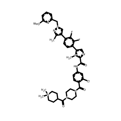 COc1cccc(Cn2cc(-c3ccc(-c4cnc(C(=O)Nc5ccc(C(=O)N6CCN(C(=O)C7CC[N+](C)(C)CC7)CC6)c(Cl)c5)n4C)c(F)c3F)c(C)n2)n1